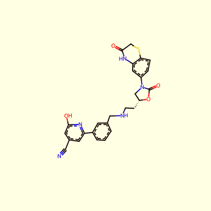 N#Cc1cc(O)nc(-c2cccc(CNCC[C@@H]3CN(c4ccc5c(c4)NC(=O)CS5)C(=O)O3)c2)c1